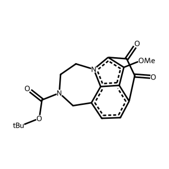 COc1c2n3c4c(ccc(c14)C(=O)C2=O)CN(C(=O)OC(C)(C)C)CC3